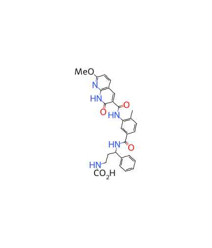 COc1ccc2cc(C(=O)Nc3cc(C(=O)NC(CCNC(=O)O)c4ccccc4)ccc3C)c(=O)[nH]c2n1